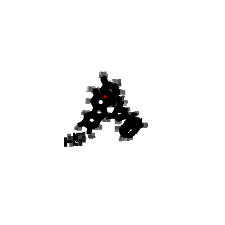 Cl.Cl.[CH2]=[Zr]([CH3])([C]1=CC(C2(C)C3CC4CC(C3)CC2C4)=CC1C)([c]1ccc(C)cc1)[c]1c(C)c(C)cc2c1Cc1cc(C)c(C)cc1-2